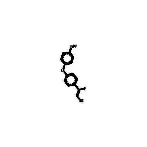 CCC=C(F)c1ccc(Oc2ccc(CCC)cc2)cc1